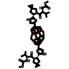 COC(=O)N[C@H](C(=O)N1CC2(CC2)C[C@H]1c1nc(-c2ccc(-c3cc4ccc3CCc3ccc(c(-c5ccc(-c6c[nH]c([C@@H]7CC8(CC8)CN7C(=O)[C@@H](NC(=O)OC)C(C)C)n6)cc5)c3)CC4)cc2)c[nH]1)C(C)C